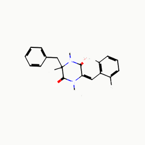 COc1cccc([N+](=O)[O-])c1C=C1C(=O)N(C)C(C)(Cc2ccccc2)C(=O)N1C